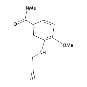 C#CCNc1cc(C(=O)NC)ccc1OC